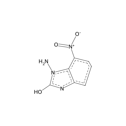 Nn1c(O)nc2cccc([N+](=O)[O-])c21